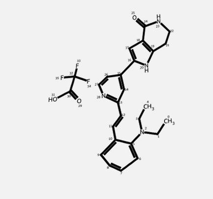 CCN(CC)c1ccccc1C=Cc1cc(-c2cc3c([nH]2)CCNC3=O)ccn1.O=C(O)C(F)(F)F